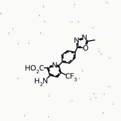 Cc1nnc(-c2ccc(-c3nc(C(=O)O)c(N)cc3C(F)(F)F)cc2)o1